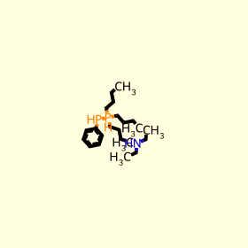 CCCC[PH](CCCC)(CCCC)Pc1ccccc1.CCNCC